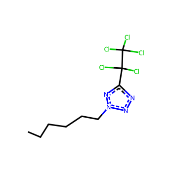 CCCCCCn1nnc(C(Cl)(Cl)C(Cl)(Cl)Cl)n1